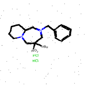 CCCCC1([N+](=O)[O-])CN(Cc2ccccc2)CC2CCCCN2C1.Cl.Cl